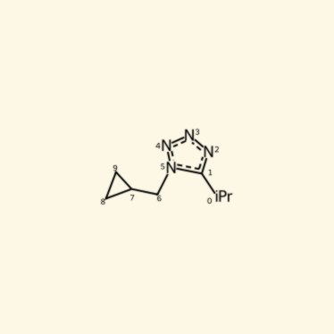 CC(C)c1nnnn1CC1CC1